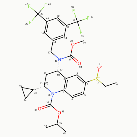 CC[S+]([O-])c1ccc2c(c1)[C@@H](N(Cc1cc(C(F)(F)F)cc(C(F)(F)F)c1)C(=O)OC)C[C@@H](C1CC1)N2C(=O)OC(C)C